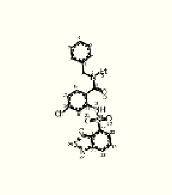 CCN(Cc1ccccc1)C(=O)c1ccc(Cl)cc1NS(=O)(=O)c1cccc2nsnc12